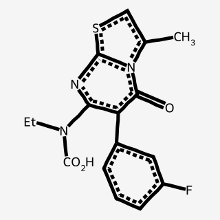 CCN(C(=O)O)c1nc2scc(C)n2c(=O)c1-c1cccc(F)c1